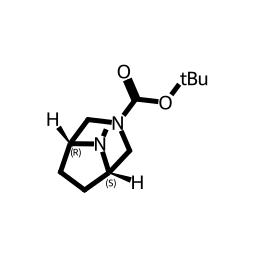 CN1[C@@H]2CC[C@H]1CN(C(=O)OC(C)(C)C)C2